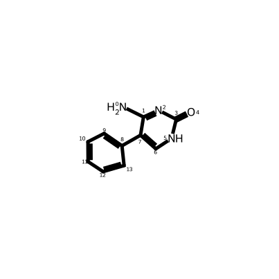 Nc1nc(=O)[nH]cc1-c1ccccc1